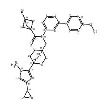 CCOc1ncc(-c2cccc(N(CC34CCC(c5cc(C6CC6)nn5C)(CC3)CC4)C(=O)C34CC(F)(C3)C4)c2)cn1